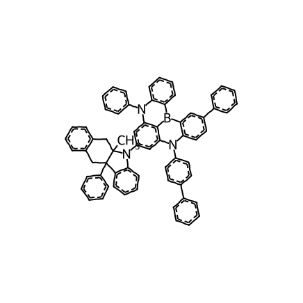 CC12Cc3ccccc3CC1(c1ccccc1)c1ccccc1N2c1cc2c3c(c1)N(c1ccc(-c4ccccc4)cc1)c1ccc(-c4ccccc4)cc1B3c1ccccc1N2c1ccccc1